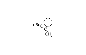 C=CO[C@@H]1CCCCCCCC1OCCCC